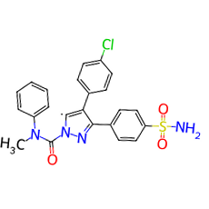 CN(C(=O)n1[c]c(-c2ccc(Cl)cc2)c(-c2ccc(S(N)(=O)=O)cc2)n1)c1ccccc1